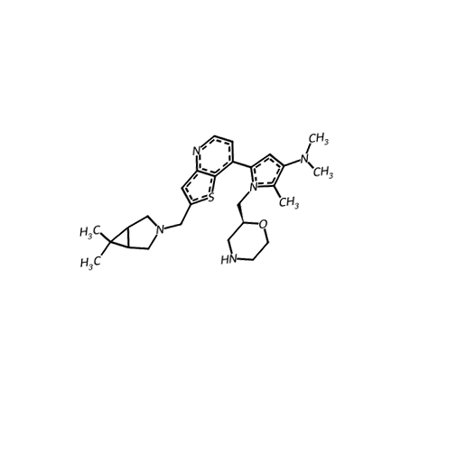 Cc1c(N(C)C)cc(-c2ccnc3cc(CN4CC5C(C4)C5(C)C)sc23)n1C[C@@H]1CNCCO1